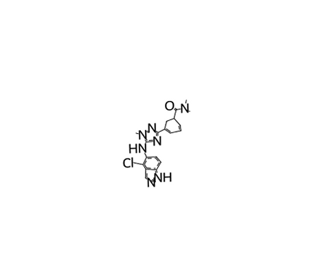 CN(C)C(=O)C1C=CC=C(c2nc(Nc3ccc4[nH]ncc4c3Cl)n(C)n2)C1